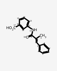 C/C(=C\c1ccccc1)C(=O)Nc1cccc(C(=O)O)c1